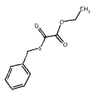 CCOC(=O)C(=O)SCc1ccccc1